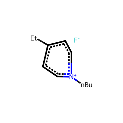 CCCC[n+]1ccc(CC)cc1.[F-]